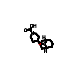 O=C(O)N1CCC(CB2[C@H]3CCC[C@@H]2CCC3)CC1